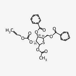 C=CCOC(=O)O[C@H]1C(OC(C)=O)S[C@H](COC(=O)c2ccccc2)[C@@H]1OC(=O)c1ccccc1